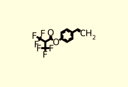 C=Cc1ccc(OC(=O)C(C(F)(F)F)C(F)(F)F)cc1